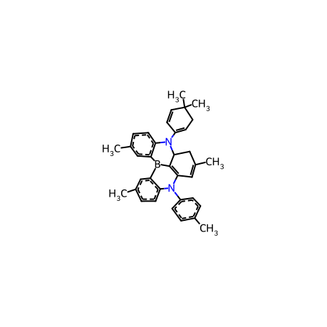 CC1=CC2=C3B(c4cc(C)ccc4N2c2ccc(C)cc2)c2cc(C)ccc2N(C2=CCC(C)(C)C=C2)C3C1